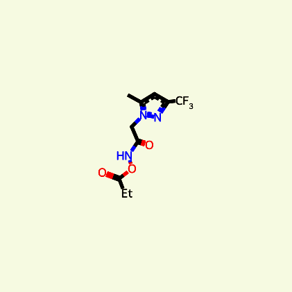 CCC(=O)ONC(=O)Cn1nc(C(F)(F)F)cc1C